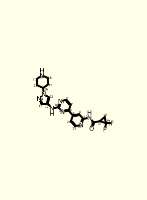 O=C(Nc1cc(-c2ccnc(Nc3cnn(C4CCNCC4)c3)n2)ccn1)C1CC1(F)F